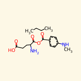 CCCC.CNc1ccc(C(=O)OC(=O)C(N)CCC(=O)O)cc1